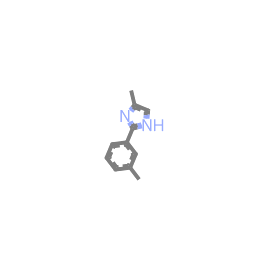 Cc1cccc(-c2nc(C)c[nH]2)c1